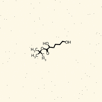 CC(C)(C)OC(=O)C(O)CCCCO